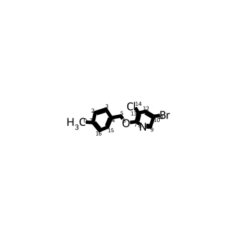 Cc1ccc(COc2ncc(Br)cc2Cl)cc1